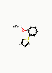 CCCCCOc1c[c]ccc1[SH]1C=CC=C1